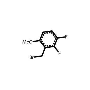 COc1ccc(F)c(F)c1CBr